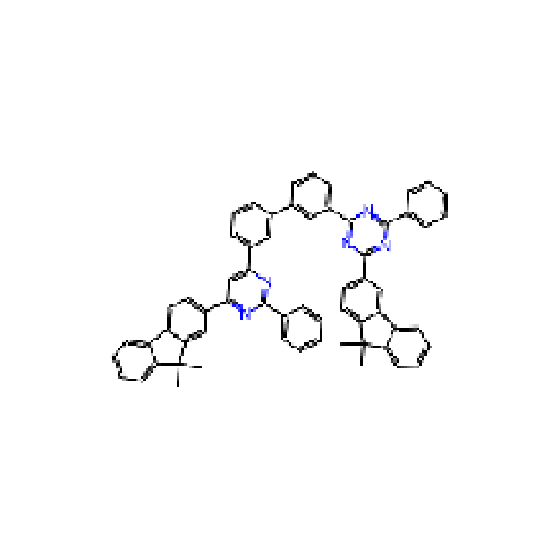 CC1(C)c2ccccc2-c2cc(-c3nc(-c4ccccc4)nc(-c4cccc(-c5cccc(-c6cc(-c7ccc8c(c7)C(C)(C)c7ccccc7-8)nc(-c7ccccc7)n6)c5)c4)n3)ccc21